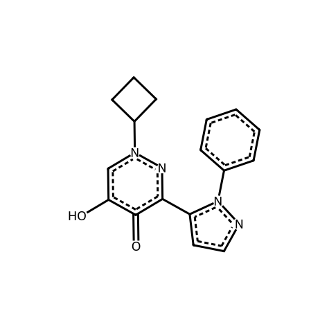 O=c1c(O)cn(C2CCC2)nc1-c1ccnn1-c1ccccc1